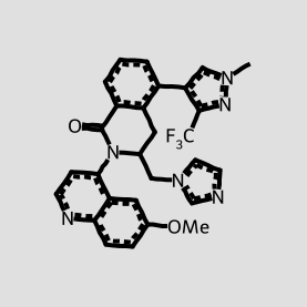 COc1ccc2nccc(N3C(=O)c4cccc(-c5cn(C)nc5C(F)(F)F)c4CC3Cn3ccnc3)c2c1